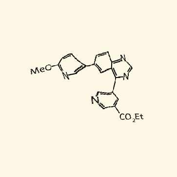 CCOC(=O)c1cncc(-c2ncnc3ccc(-c4ccc(OC)nc4)cc23)c1